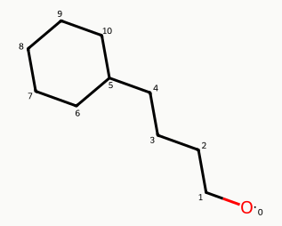 [O]CCCCC1CCCCC1